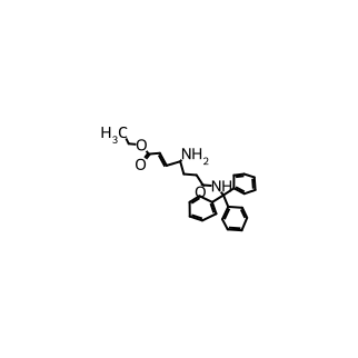 CCOC(=O)/C=C/[C@@H](N)CCC(=O)NC(c1ccccc1)(c1ccccc1)c1ccccc1